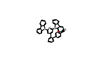 N#Cc1ccc(-c2ccccc2-c2cc(-n3c4ccccc4c4ccccc43)nc(-n3c4ccccc4c4ccccc43)c2)cc1